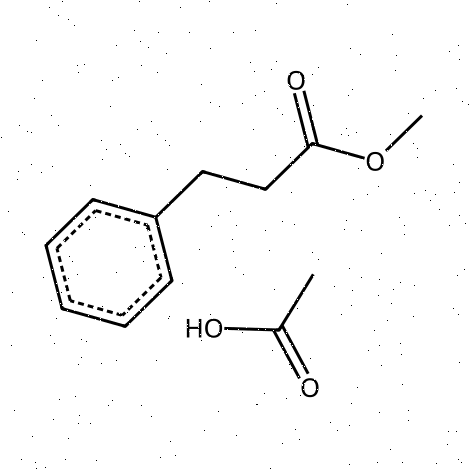 CC(=O)O.COC(=O)CCc1ccccc1